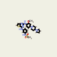 COc1cc(N2CCC(N3CCCC3)CC2)ccc1Nc1nc(Nc2cccc(NS(C)(=O)=O)c2)c2sccc2n1